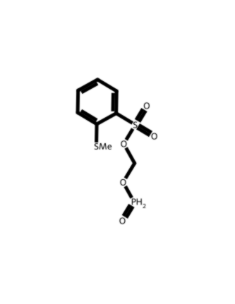 CSc1ccccc1S(=O)(=O)OCO[PH2]=O